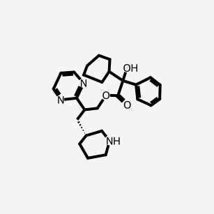 O=C(OCC(C[C@H]1CCCNC1)c1ncccn1)C(O)(c1ccccc1)C1CCCCC1